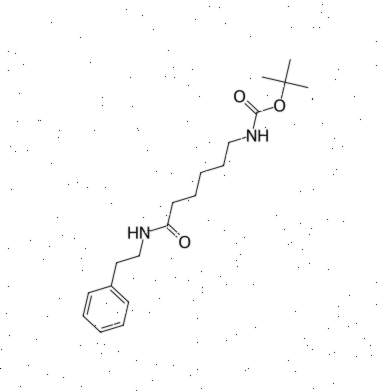 CC(C)(C)OC(=O)NCCCCCC(=O)NCCc1ccccc1